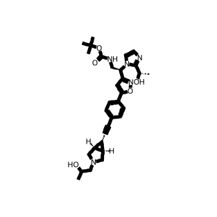 CC(O)CN1C[C@@H]2[C@@H](C#Cc3ccc(-c4cc([C@@H](CNC(=O)OC(C)(C)C)n5ccnc5[C@H](C)O)no4)cc3)[C@@H]2C1